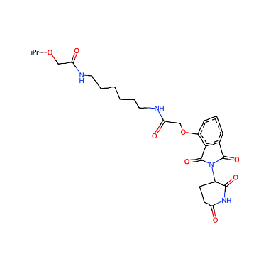 CC(C)OCC(=O)NCCCCCCNC(=O)COc1cccc2c1C(=O)N(C1CCC(=O)NC1=O)C2=O